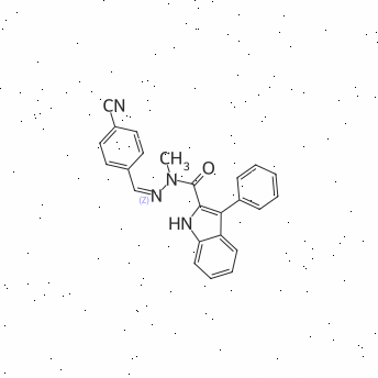 CN(/N=C\c1ccc(C#N)cc1)C(=O)c1[nH]c2ccccc2c1-c1ccccc1